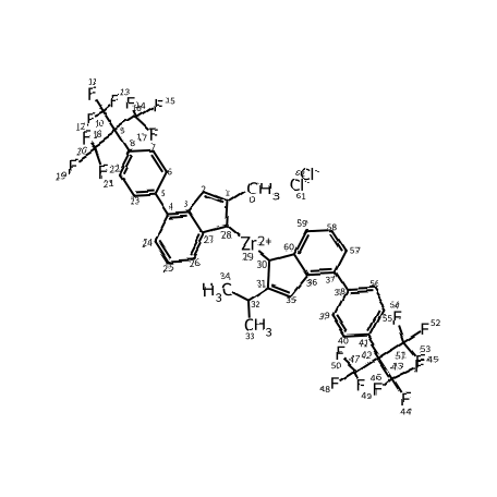 CC1=Cc2c(-c3ccc(C(C(F)(F)F)(C(F)(F)F)C(F)(F)F)cc3)cccc2[CH]1[Zr+2][CH]1C(C(C)C)=Cc2c(-c3ccc(C(C(F)(F)F)(C(F)(F)F)C(F)(F)F)cc3)cccc21.[Cl-].[Cl-]